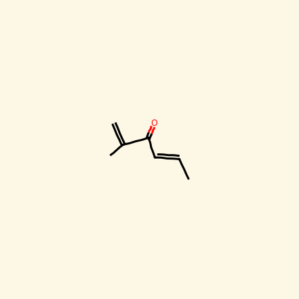 C=C(C)C(=O)C=CC